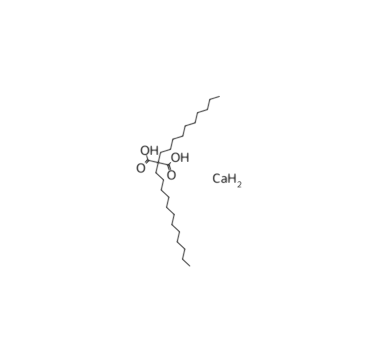 CCCCCCCCCCCCC(CCCCCCCCCC)(C(=O)O)C(=O)O.[CaH2]